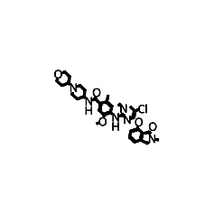 C=N/C(=N\C(Oc1cccc2c1C(=O)N(C)C2)=C(/C)Cl)Nc1cc(C)c(C(=O)NC2CCN(C3CCOCC3)CC2)cc1OC